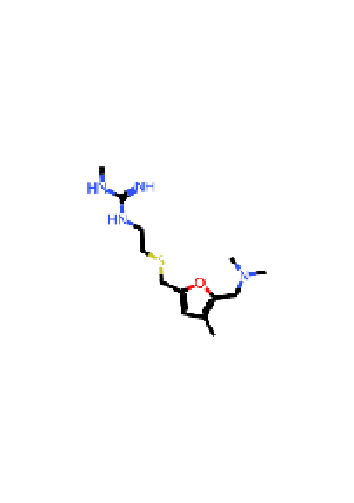 CNC(=N)NCCSCc1cc(C)c(CN(C)C)o1